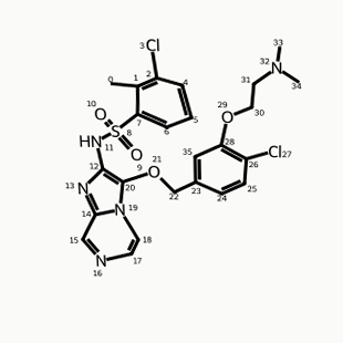 Cc1c(Cl)cccc1S(=O)(=O)Nc1nc2cnccn2c1OCc1ccc(Cl)c(OCCN(C)C)c1